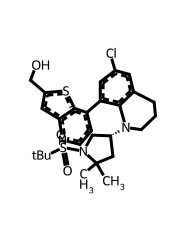 CC1(C)C[C@@H](N2CCCc3cc(Cl)cc(-c4ccnc5cc(CO)sc45)c32)CN1S(=O)(=O)C(C)(C)C